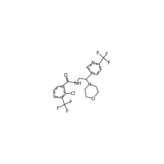 O=C(NCC(c1ccc(C(F)(F)F)nc1)N1CCOCC1)c1cccc(C(F)(F)F)c1Cl